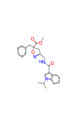 COC(=O)C1(Cc2ccccc2)CC(CNC(=O)c2cn(C(C)C)c3ccccc23)=NO1